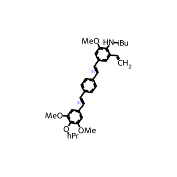 C=Cc1cc(/C=C/c2ccc(/C=C/c3cc(OC)c(OCCC)c(OC)c3)cc2)cc(OC)c1NC(C)CC